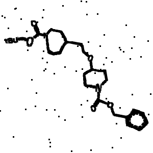 CC(C)(C)OC(=O)N1CCC(CCOC2CCN(C(=O)OCc3ccccc3)CC2)CC1